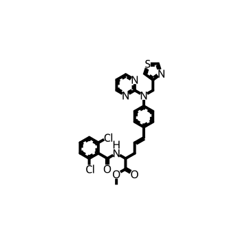 COC(=O)C(CC=Cc1ccc(N(Cc2cscn2)c2ncccn2)cc1)NC(=O)c1c(Cl)cccc1Cl